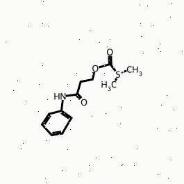 C[S+](C)C(=O)OCCC(=O)Nc1ccccc1